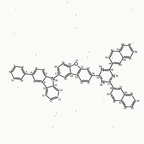 c1ccc(-c2ccc3c(c2)c2ccccc2n3-c2ccc3oc4cc(-c5nc(-c6ccc7ccccc7c6)nc(-c6ccc7ccccc7c6)n5)ccc4c3c2)cc1